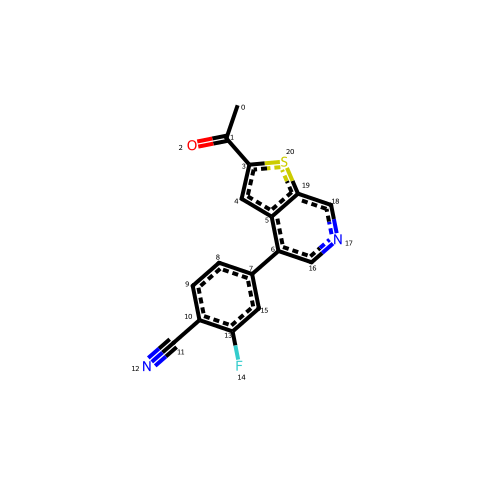 CC(=O)c1cc2c(-c3ccc(C#N)c(F)c3)cncc2s1